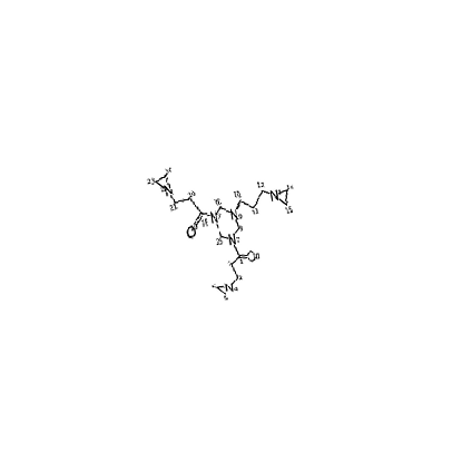 O=C(CCN1CC1)N1CN(CCCN2CC2)CN(C(=O)CCN2CC2)C1